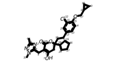 Cc1nc(CC2=C(O)CC(CCc3ccc(OCC4CC4)c(Cl)c3)(C3CCCC3)OC2=O)n(C)n1